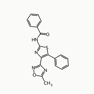 Cc1nc(-c2nc(NC(=O)c3ccccc3)sc2-c2ccccc2)no1